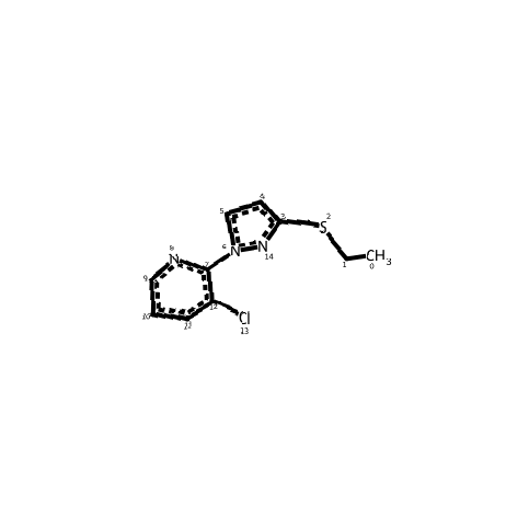 CCSc1c[c]n(-c2ncccc2Cl)n1